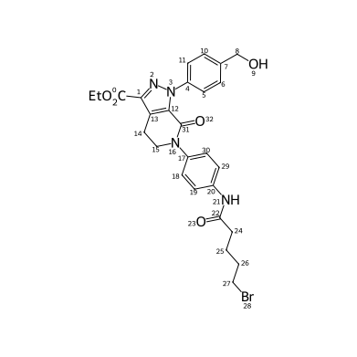 CCOC(=O)c1nn(-c2ccc(CO)cc2)c2c1CCN(c1ccc(NC(=O)CCCCBr)cc1)C2=O